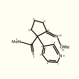 CNC(=S)C1(c2cccnc2)CCC/C1=N/OC